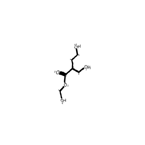 O=C(OCO)C(CO)CCO